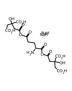 N[C@@H](CCC(=O)OC(=O)CC(O)(CC(=O)O)C(=O)O)C(=O)OC(=O)CC(O)(CC(=O)O)C(=O)O.[NaH].[NaH]